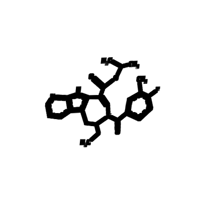 CCC1Cc2c([nH]c3ncccc23)C(C(=O)OC(C)C)=CN1C(=O)c1ccc(F)c(C)c1